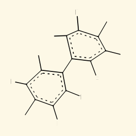 Cc1c(F)c(C)c(-c2c(F)c(F)c(F)c(F)c2F)c(F)c1F